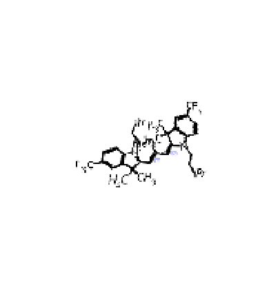 COC(=C\C1=[N+](CCC(C)C)c2ccc(C(F)(F)F)cc2C1(C)C)/C=C1/N(CCC(C)C)c2ccc(C(F)(F)F)cc2C1(C)C